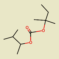 CCC(C)(C)OC(=O)OC(C)C(C)C